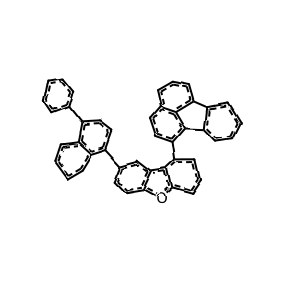 c1ccc(-c2ccc(-c3ccc4oc5cccc(-c6ccc7cccc8c7c6-c6ccccc6-8)c5c4c3)c3ccccc23)cc1